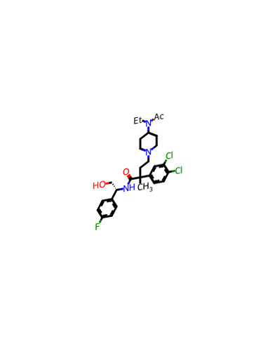 CCN(C(C)=O)C1CCN(CCC(C)(C(=O)N[C@@H](CO)c2ccc(F)cc2)c2ccc(Cl)c(Cl)c2)CC1